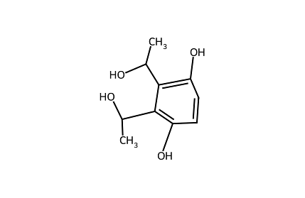 CC(O)c1c(O)ccc(O)c1C(C)O